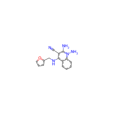 N#Cc1c(NCc2ccco2)c2ccccc2[n+](N)c1N